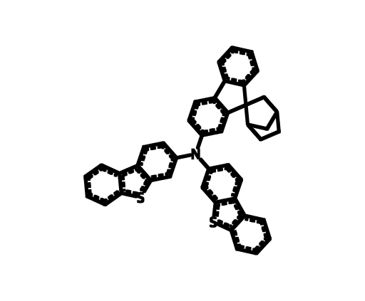 c1ccc2c(c1)-c1ccc(N(c3ccc4c(c3)sc3ccccc34)c3ccc4c(c3)sc3ccccc34)cc1C21CC2CCC1C2